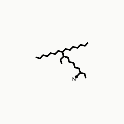 CCCCCCCC(CCCCCCC)C(CC)CCCCCC(C#N)CC